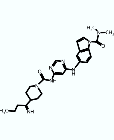 CCCC(=N)C1CCN(C(=O)Nc2cc(Nc3ccc4c(ccn4C(=O)N(C)C)c3)ncn2)CC1